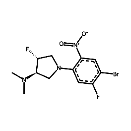 CN(C)[C@@H]1CN(c2cc(F)c(Br)cc2[N+](=O)[O-])C[C@H]1F